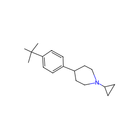 CC(C)(C)c1ccc(C2CCN(C3CC3)CC2)cc1